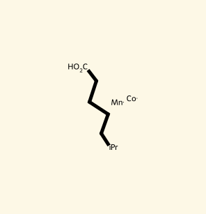 CC(C)CCCCC(=O)O.[Co].[Mn]